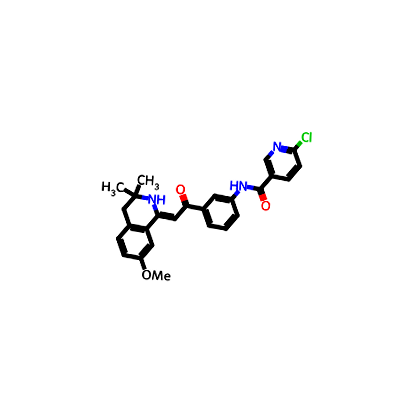 COc1ccc2c(c1)/C(=C/C(=O)c1cccc(NC(=O)c3ccc(Cl)nc3)c1)NC(C)(C)C2